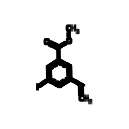 C=[C]c1cc(I)cc(C(=O)OC)c1